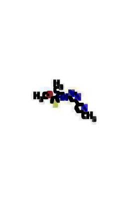 COc1cscc1C(C)CNc1cc(-c2ccc(C)nc2)ncn1